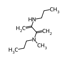 C=C(NCCC)C(=C)N(C)CCC